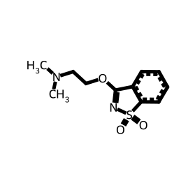 CN(C)CCOC1=NS(=O)(=O)c2ccccc21